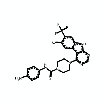 Nc1ccc(NC(=S)N2CCN(c3ncnc4[nH]c5cc(C(F)(F)F)c(Cl)cc5c34)CC2)cc1